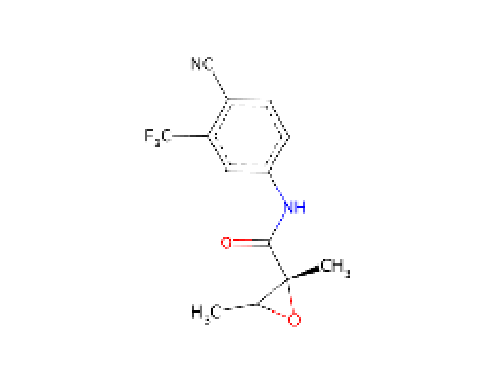 CC1O[C@@]1(C)C(=O)Nc1ccc(C#N)c(C(F)(F)F)c1